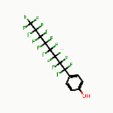 Oc1ccc(C(F)(F)C(F)(F)C(F)(F)C(F)(F)C(F)(F)C(F)(F)C(F)(F)C(F)(F)F)cc1